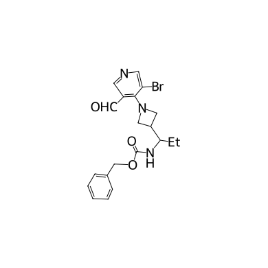 CCC(NC(=O)OCc1ccccc1)C1CN(c2c(Br)cncc2C=O)C1